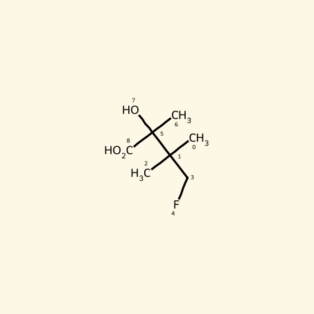 CC(C)(CF)C(C)(O)C(=O)O